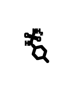 CC1CCC(NS(N)(=O)=O)CC1